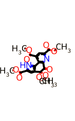 COC(=O)c1cc(C(=O)OC)c2c(n1)C(=O)C(OC)(OC)c1cc(C(=O)OC)[nH]c1-2